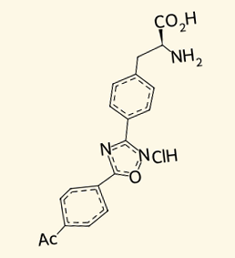 CC(=O)c1ccc(-c2nc(-c3ccc(C[C@H](N)C(=O)O)cc3)no2)cc1.Cl